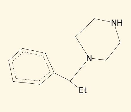 CCC(c1ccccc1)N1CCNCC1